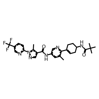 Cc1cc(NC(=O)c2cnn(-c3ccc(C(F)(F)F)cn3)c2C)cnc1C1=CCC(NC(=O)C(C)(C)C)CC1